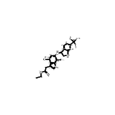 CCOC(=O)Cc1csc2c(F)c(OC3COc4nc(C(F)(F)F)ccc43)cc(Cl)c12